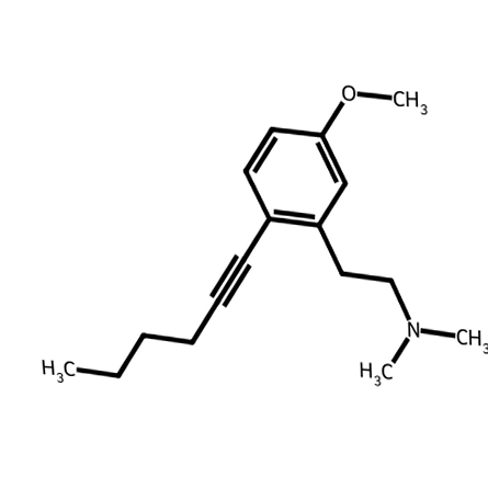 CCCCC#Cc1ccc(OC)cc1CCN(C)C